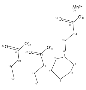 C1CCCCC1.CCCC(=O)[O-].CCCC(=O)[O-].CCCC(=O)[O-].[Mn+3]